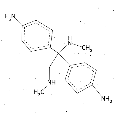 CNCC(NC)(c1ccc(N)cc1)c1ccc(N)cc1